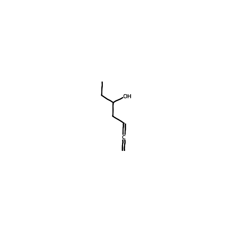 C=C=CCC(O)CC